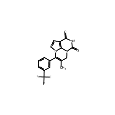 CC1=C(c2cccc(C(F)(F)F)c2)n2ncc3c(=O)[nH]c(=S)n(c32)C1